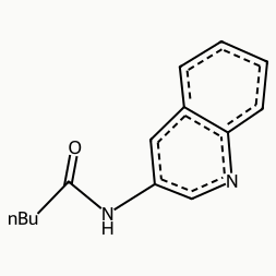 CCCCC(=O)Nc1cnc2ccccc2c1